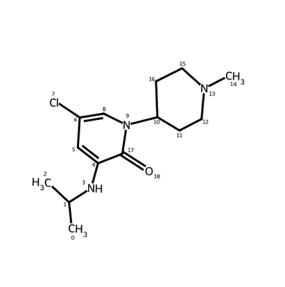 CC(C)Nc1cc(Cl)cn(C2CCN(C)CC2)c1=O